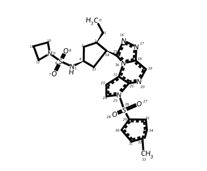 CC[C@@H]1C[C@H](NS(=O)(=O)N2CCC2)C[C@@H]1c1nnc2cnc3c(ccn3S(=O)(=O)c3ccc(C)cc3)n12